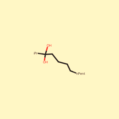 CCCCCCCCCC(O)(O)C(C)C